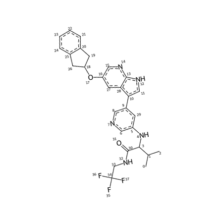 CC(C)C(Nc1cncc(-c2c[nH]c3ncc(OC4Cc5ccccc5C4)cc23)c1)C(=O)NCC(F)(F)F